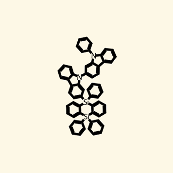 c1ccc(-n2c3ccccc3c3ccc(-n4c5ccccc5c5ccc([Si]6(c7ccccc7)c7ccccc7[Si](c7ccccc7)(c7ccccc7)c7ccccc76)cc54)cc32)cc1